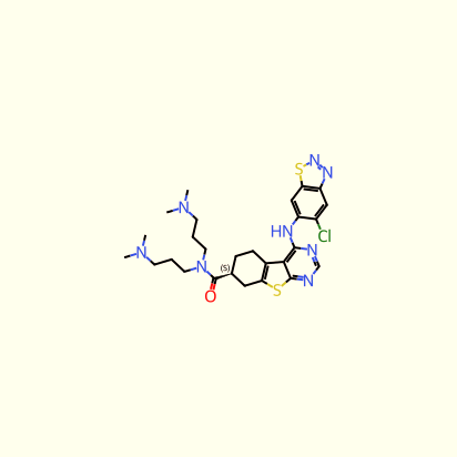 CN(C)CCCN(CCCN(C)C)C(=O)[C@H]1CCc2c(sc3ncnc(Nc4cc5snnc5cc4Cl)c23)C1